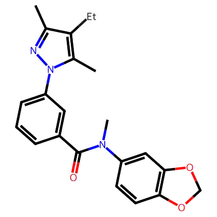 CCc1c(C)nn(-c2cccc(C(=O)N(C)c3ccc4c(c3)OCO4)c2)c1C